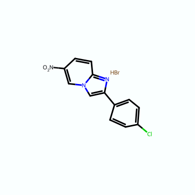 Br.O=[N+]([O-])c1ccc2nc(-c3ccc(Cl)cc3)cn2c1